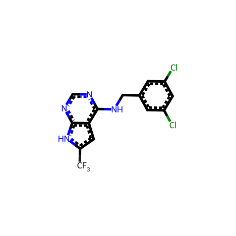 FC(F)(F)c1cc2c(NCc3cc(Cl)cc(Cl)c3)ncnc2[nH]1